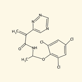 C=C(C(=O)NC(C)Oc1c(Cl)cc(Cl)cc1Cl)c1cncnn1